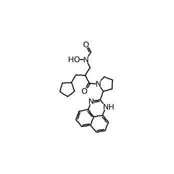 O=CN(O)CC(CC1CCCC1)C(=O)N1CCCC1C1=Nc2cccc3cccc(c23)N1